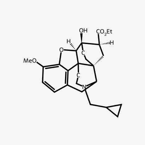 CCOC(=O)[C@H]1C[C@@]23CC[C@]1(O)[C@@H]1Oc4c(OC)ccc5c4C12CCN(CC1CC1)C3C5